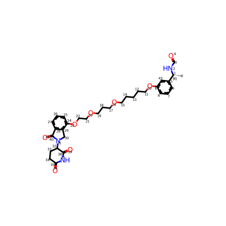 C[C@@H](NC=O)c1cccc(OCCCCCOCCCOCCOc2cccc3c2CN(C2CCC(=O)NC2=O)C3=O)c1